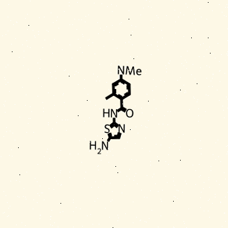 CNc1ccc(C(=O)Nc2ncc(N)s2)c(C)c1